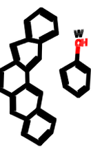 Oc1ccccc1.[W].c1ccc2cc3c(ccc4cc5ccccc5cc43)cc2c1